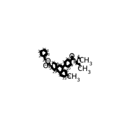 CCCN(CC)C(=O)c1ccc(C2=CC3(CCN(C(=O)OCc4ccccc4)CC3)Cc3ccc(C)cc32)cc1